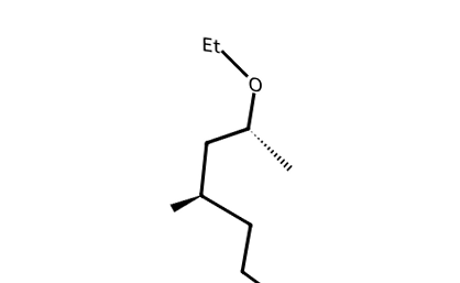 CCO[C@H](C)C[C@H](C)CCCl